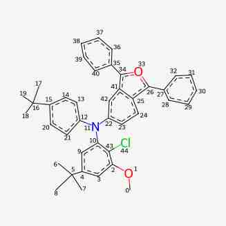 COc1cc(C(C)(C)C)cc(N(c2ccc(C(C)(C)C)cc2)c2ccc3c(-c4ccccc4)oc(-c4ccccc4)c3c2)c1Cl